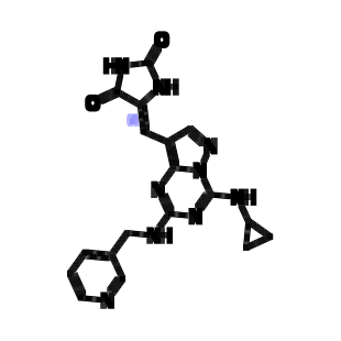 O=C1NC(=O)/C(=C/c2cnn3c(NC4CC4)nc(NCc4cccnc4)nc23)N1